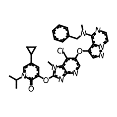 CC(C)n1cc(C2CC2)cc(Oc2nc3ncc(Oc4cnn5ccnc(N(C)Cc6ccccc6)c45)c(Cl)c3n2C)c1=O